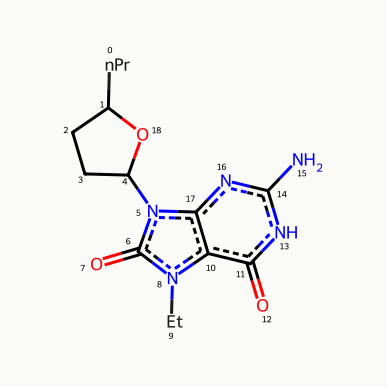 CCCC1CCC(n2c(=O)n(CC)c3c(=O)[nH]c(N)nc32)O1